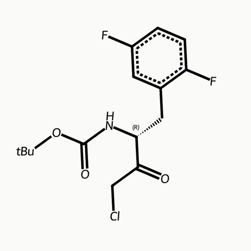 CC(C)(C)OC(=O)N[C@H](Cc1cc(F)ccc1F)C(=O)CCl